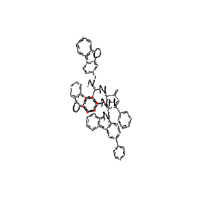 C=C(/C=C(\C(=C\c1ccccc1)n1c2ccccc2c2cc(-c3ccccc3)ccc21)c1ccccc1)/C(=N/C(=N\Cc1ccc2c(c1)oc1ccccc12)c1cccc2oc3ccccc3c12)NC